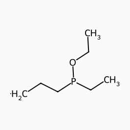 [CH2]CCP(CC)OCC